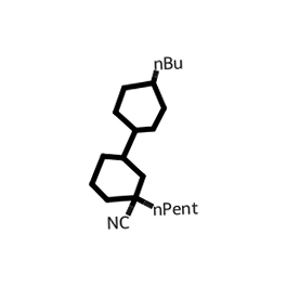 CCCCCC1(C#N)CCCC(C2CCC(CCCC)CC2)C1